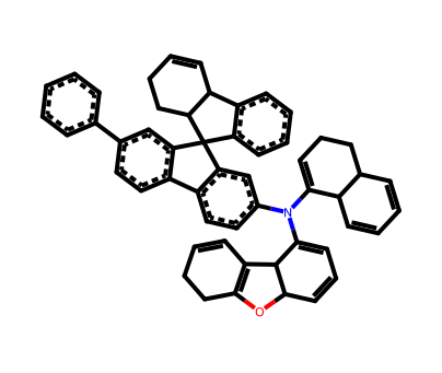 C1=CC2CCC=C(N(C3=CC=CC4OC5=C(C=CCC5)C34)c3ccc4c(c3)C3(c5cc(-c6ccccc6)ccc5-4)c4ccccc4C4C=CCCC43)C2C=C1